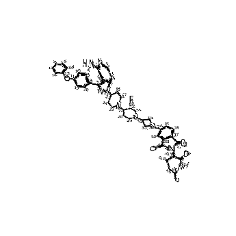 Nc1ncnc2c1c(-c1ccc(Oc3ccccc3)cc1)nn2C1CCN(C2CCN(C3CN(c4ccc5c(c4)C(=O)N(C4CCC(=O)NC4=O)C5=O)C3)C[C@H]2F)CC1